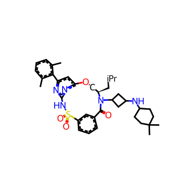 Cc1cccc(C)c1-c1cc2nc(n1)NS(=O)(=O)c1cccc(c1)C(=O)N(C1CC(NC3CCC(C)(C)CC3)C1)[C@H](CC(C)C)CO2